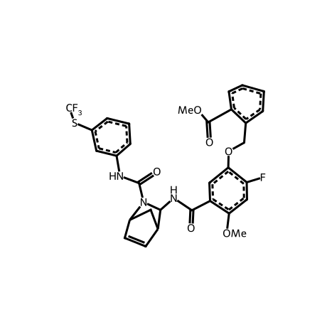 COC(=O)c1ccccc1COc1cc(C(=O)NC2C3C=CC(C3)N2C(=O)Nc2cccc(SC(F)(F)F)c2)c(OC)cc1F